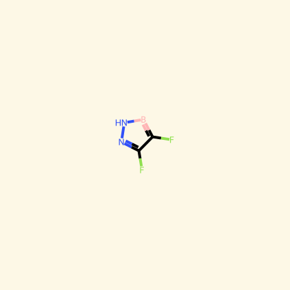 Fc1b[nH]nc1F